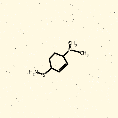 CN(C)C1C=CC(SN)CC1